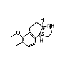 COc1c(C)ccc2c1CC[C@H]1NCC[C@@H]21